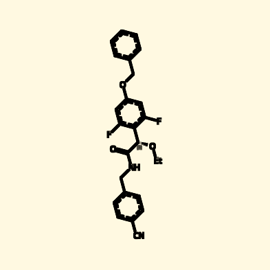 CCO[C@H](C(=O)NCc1ccc(C#N)cc1)c1c(F)cc(OCc2ccccc2)cc1F